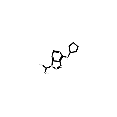 CC(C)n1nnc2c(NC3CCCC3)ncnc21